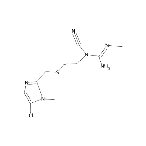 C/N=C(\N)N(C#N)CCSCc1ncc(Cl)n1C